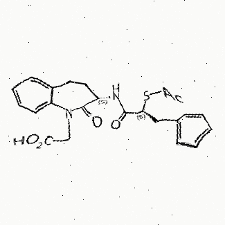 CC(=O)S[C@@H](Cc1ccccc1)C(=O)N[C@H]1CCc2ccccc2N(CC(=O)O)C1=O